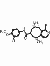 C[C@@H]1CC(C(=O)Nc2ccc(OC(F)(F)F)c(Cl)c2)C[C@H](N)Cc2c1ccnc2F